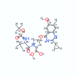 COC(=O)C1C[C@@H](Oc2nc(C3CC3)nc3cc(C)c(OC)cc23)CN1C(=O)C(NC(=O)OC(C)(C)C)C(C)(C)C